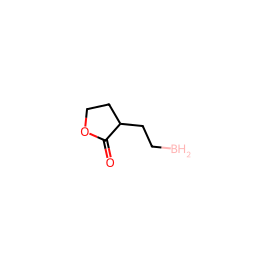 BCCC1CCOC1=O